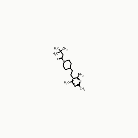 Cc1nc(C)c(CCC2CCN(C(=O)OC(C)(C)C)CC2)c(N)n1